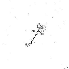 CCCCCCCCCC(C(=O)O)[SiH]1CCO[SiH2][SiH2]1.[Zn]